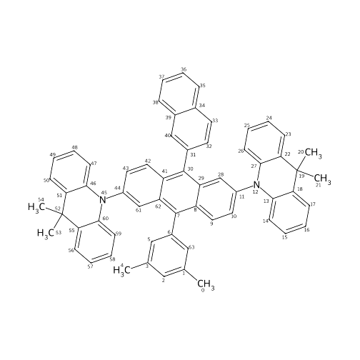 Cc1cc(C)cc(-c2c3ccc(N4c5ccccc5C(C)(C)c5ccccc54)cc3c(-c3ccc4ccccc4c3)c3ccc(N4c5ccccc5C(C)(C)c5ccccc54)cc23)c1